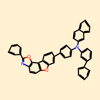 c1ccc(-c2cccc(N(c3ccc(-c4ccc5c(c4)oc4ccc6nc(-c7ccccc7)oc6c45)cc3)c3ccc4ccccc4c3)c2)cc1